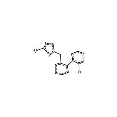 Nc1nnc(Cc2ccccc2-c2ccccc2Cl)s1